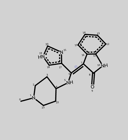 CN1CCC(N/C(=C2\C(=O)Nc3ccccc32)c2c[nH]cn2)CC1